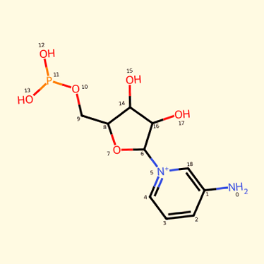 Nc1ccc[n+](C2OC(COP(O)O)C(O)C2O)c1